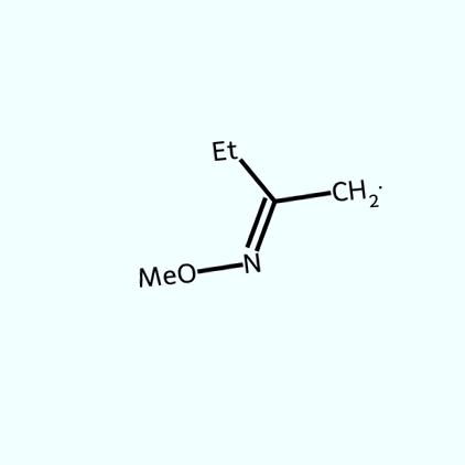 [CH2]/C(CC)=N/OC